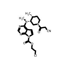 C[C@@H]1CCN(C(=O)CC#N)C[C@@H]1N(C)c1ncnc2c1ccn2C(=O)OCCCl